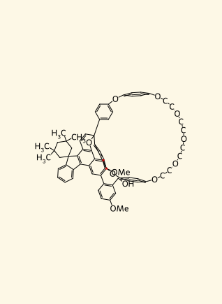 COc1ccc(-c2cc3c4c(c5c(c3cc2OC)OC2(C=C5)c3ccc(cc3)Oc3ccc(cc3)OCCOCCOCCOCCOc3ccc(cc3)Oc3ccc2cc3)C2(CC(C)(C)CC(C)(C)C2)c2ccccc2-4)c(CO)c1